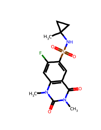 Cn1c(=O)c2cc(S(=O)(=O)NC3(C)CC3)c(F)cc2n(C)c1=O